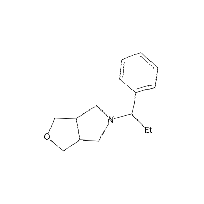 CCC(c1ccccc1)N1CC2COCC2C1